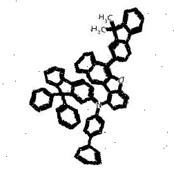 CC1(C)c2ccccc2-c2ccc(-c3c4ccccc4cc4c3oc3cccc(N(c5ccc(-c6ccccc6)cc5)c5ccc6c(c5)C(c5ccccc5)(c5ccccc5)c5ccccc5-6)c34)cc21